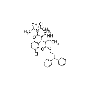 CC1=C(C(=O)OCCC(c2ccccc2)c2ccccc2)C(c2cccc(Cl)c2)C(C(=O)N(C(C)C)C(C)C)=C(C)N1